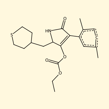 CCOC(=O)OC1=C(c2cc(C)ccc2C)C(=O)NC1CC1CCSCC1